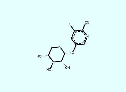 N#Cc1ncc(O[C@H]2SC[C@@H](O)[C@H](O)[C@H]2O)cc1F